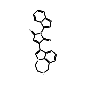 O=C1C=C(c2cn3c4c(cccc24)CNCC3)C(=O)N1c1cnc2ccccn12